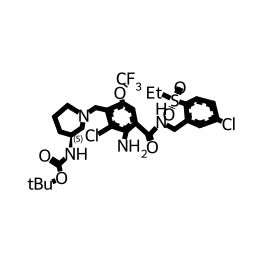 CCS(=O)(=O)c1ccc(Cl)cc1CNC(=O)c1cc(OC(F)(F)F)c(CN2CCC[C@H](NC(=O)OC(C)(C)C)C2)c(Cl)c1N